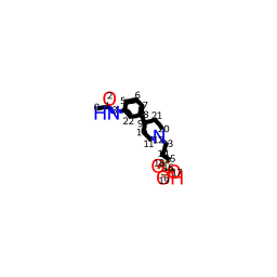 CC(=O)Nc1cccc(C2CCN(CCCS(=O)(=O)O)CC2)c1